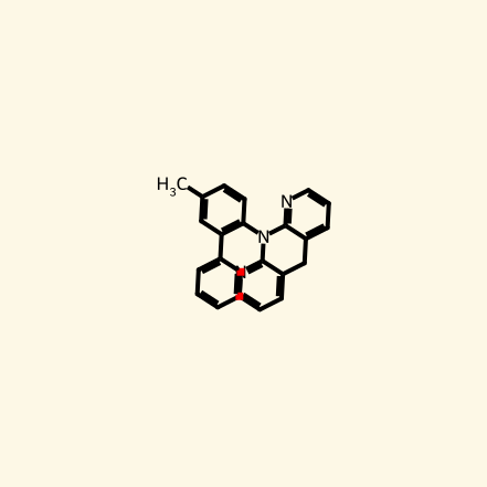 Cc1ccc(N2c3ncccc3Cc3cccnc32)c(-c2ccccc2)c1